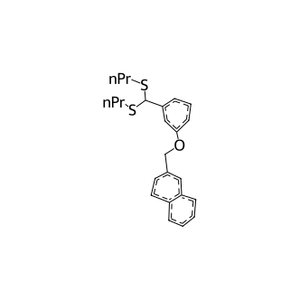 CCCSC(SCCC)c1cccc(OCc2ccc3ccccc3c2)c1